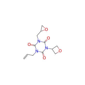 C=CCn1c(=O)n(CC2CO2)c(=O)n(C2COC2)c1=O